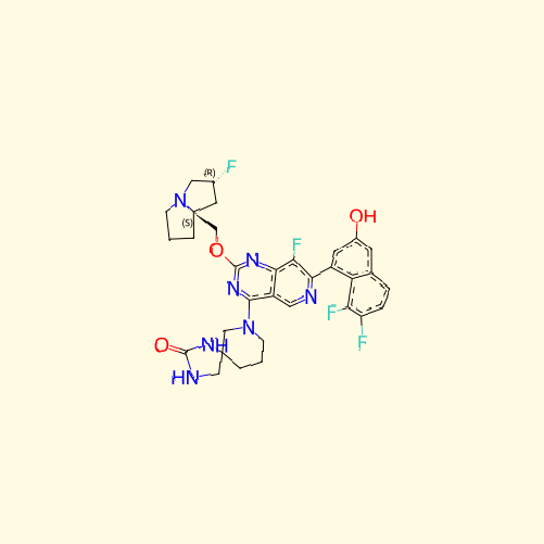 O=C1NCC2(CCCN(c3nc(OC[C@@]45CCCN4C[C@H](F)C5)nc4c(F)c(-c5cc(O)cc6ccc(F)c(F)c56)ncc34)C2)N1